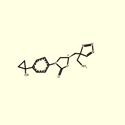 N#CC1(c2ccc(N3C[C@@H](CC4(CN)C=NN=N4)OC3=O)cc2)CC1